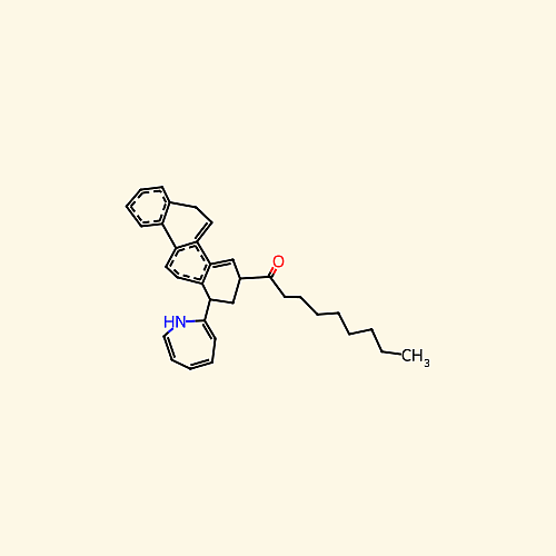 CCCCCCCCC(=O)C1C=c2c(ccc3c2=CCc2ccccc2-3)C(C2=CC=CC=CN2)C1